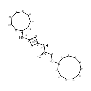 O=C(COC1CCCCCCCCCC1)NC12CC(NC3CCCCCCCC3)(C1)C2